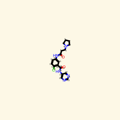 O=C(CCN1CCCC1)Nc1ccc(Cl)c(C(=O)Nc2cncnc2)c1